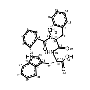 CN(C(=O)c1ccccc1)[C@@H](Cc1ccccc1)C(=O)N[C@@H](Cc1c[nH]c2ccccc12)C(=O)O